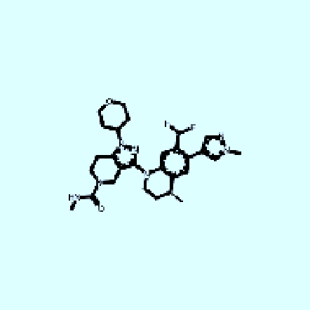 CNC(=O)N1CCc2c(c(N3CC[C@H](C)c4cc(-c5cnn(C)c5)c(C(F)F)cc43)nn2C2CCOCC2)C1